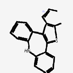 C/C=C\c1c(C)sc2c1-c1ccccc1Nc1ccccc1-2